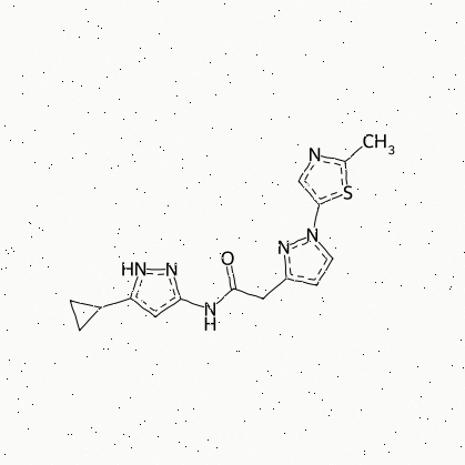 Cc1ncc(-n2ccc(CC(=O)Nc3cc(C4CC4)[nH]n3)n2)s1